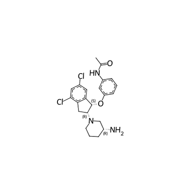 CC(=O)Nc1cccc(O[C@H]2c3cc(Cl)cc(Cl)c3C[C@H]2N2CCC[C@@H](N)C2)c1